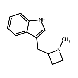 CN1CCC1Cc1c[nH]c2ccccc12